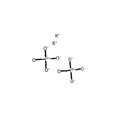 [K+].[K+].[O-][I+3]([O-])([O-])[O-].[O-][I+3]([O-])([O-])[O-]